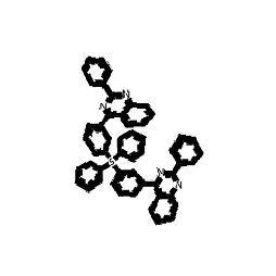 c1ccc(-c2nc(-c3cccc(S(c4ccccc4)(c4ccccc4)c4cccc(-c5nc(-c6ccccc6)nc6ccccc56)c4)c3)c3ccccc3n2)cc1